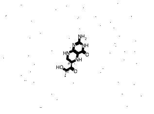 C[C@H](O)C(=O)[C@H]1CNc2nc(N)[nH]c(=O)c2N1